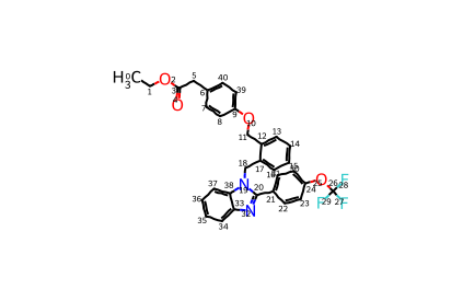 CCOC(=O)Cc1ccc(OCc2ccccc2Cn2c(-c3ccc(OC(F)(F)F)cc3)nc3ccccc32)cc1